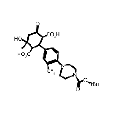 CC(C)(C)OC(=O)N1CCN(c2ccc(C3C(C(=O)O)C(=O)CC(C)(O)C3C(=O)O)cc2C(F)(F)F)CC1